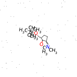 CN(C)C=C1CCC(CO[Si](C)(C)C(C)(C)C)C1=O